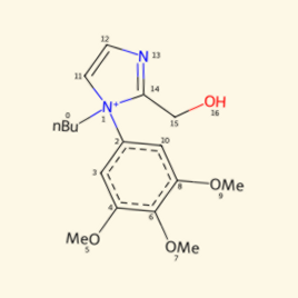 CCCC[N+]1(c2cc(OC)c(OC)c(OC)c2)C=CN=C1CO